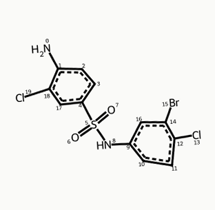 Nc1ccc(S(=O)(=O)Nc2ccc(Cl)c(Br)c2)cc1Cl